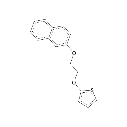 c1csc(OCCOc2ccc3ccccc3c2)c1